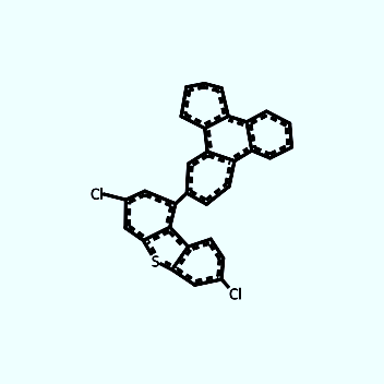 Clc1ccc2c(c1)sc1cc(Cl)cc(-c3ccc4c5ccccc5c5ccccc5c4c3)c12